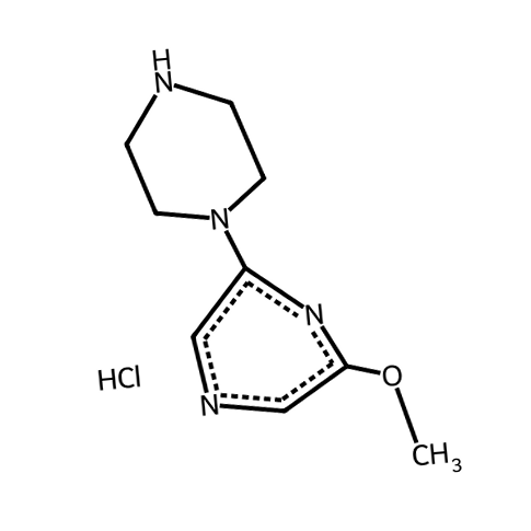 COc1cncc(N2CCNCC2)n1.Cl